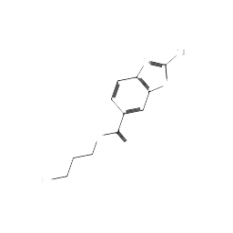 Nc1nc2ccc(C(=O)OCCCO)cc2s1